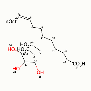 CC(=O)O.CC(=O)O.CCCCCCCC/C=C\CCCCCCCC(=O)O.OCC(O)CO